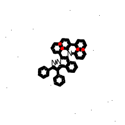 c1ccc(-c2ccccc2N(c2ccccc2)c2c(-c3ccccc3)n3nc(-c4ccccc4)c(-c4ccccc4)c3c3ccccc23)cc1